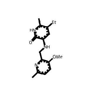 CCc1cc(NCc2nc(C)ccc2OC)c(=O)[nH]c1C